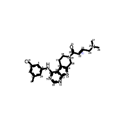 Cc1cc(Cl)cc(Nc2ncnc3sc4c(c23)CCN(C(=O)/C=C/CN(C)C)C4)c1